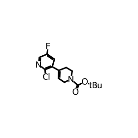 CC(C)(C)OC(=O)N1CC=C(c2cc(F)cnc2Cl)CC1